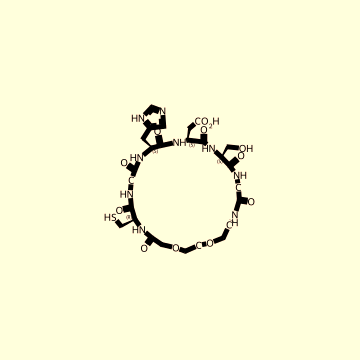 O=C(O)C[C@@H]1NC(=O)[C@H](Cc2cnc[nH]2)NC(=O)CNC(=O)[C@H](CS)NC(=O)COCCOCCNC(=O)CNC(=O)[C@H](CO)NC1=O